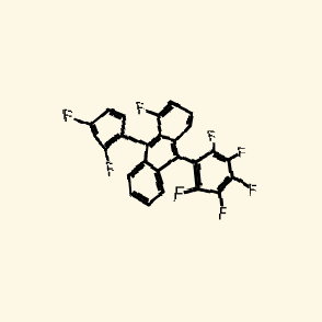 Fc1ccc(-c2c3ccccc3c(-c3c(F)c(F)c(F)c(F)c3F)c3cccc(F)c23)c(F)c1